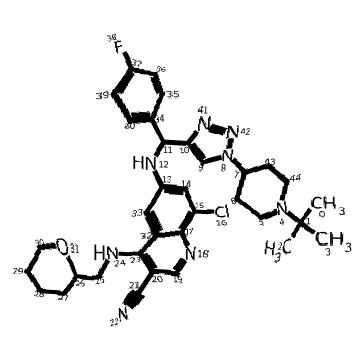 CC(C)(C)N1CCC(n2cc(C(Nc3cc(Cl)c4ncc(C#N)c(NCC5CCCCO5)c4c3)c3ccc(F)cc3)nn2)CC1